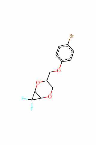 FC1(F)C2OCC(COc3ccc(Br)cc3)OC21